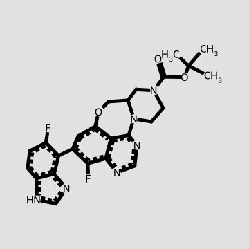 CC(C)(C)OC(=O)N1CCN2c3ncnc4c(F)c(-c5c(F)ccc6[nH]cnc56)cc(c34)OCC2C1